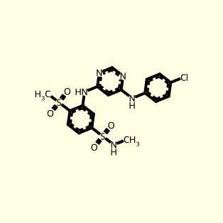 CNS(=O)(=O)c1ccc(S(C)(=O)=O)c(Nc2cc(Nc3ccc(Cl)cc3)ncn2)c1